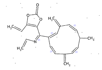 C=C/N=C(C1=C\C(=C)/C=C\C(C)/C=C\C(=C)/C=C\1)\c1oc(=O)oc1C=C